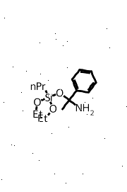 CCC[Si](OCC)(OCC)OC(C)(N)c1ccccc1